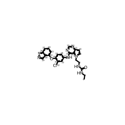 CCNC(=O)NCCn1ccc2ncnc(Nc3ccc(Oc4cccc5sncc45)c(Cl)c3)c21